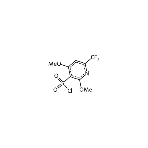 COc1cc(C(F)(F)F)nc(OC)c1S(=O)(=O)Cl